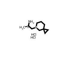 C[C@@H](N)CN1CCCC2(CC2)C1.Cl.Cl